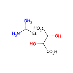 CCC(N)N.O=C(O)C(O)C(O)C(=O)O